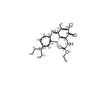 CCOC(=O)NC1=CC(=Nc2ccc(N(CC)CC)cc2C)C(C)=C(Cl)C1=O